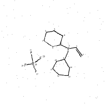 C=CP(C1CCCCC1)C1CCCCC1.F[B-](F)(F)F